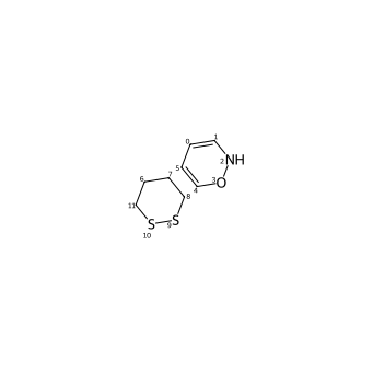 C1=CNOC=C1.C1CCSSC1